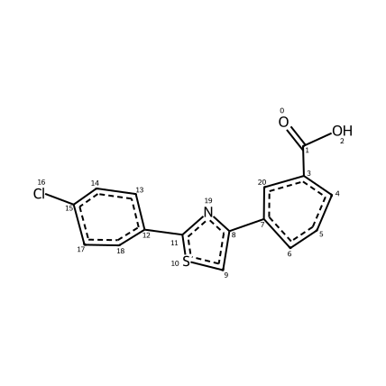 O=C(O)c1cccc(-c2csc(-c3ccc(Cl)cc3)n2)c1